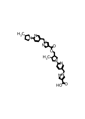 C[C@H]1CCN(c2ccc(Cn3cc(C(=O)OCC4CN(c5ccc(Cn6cc(C(=O)O)cn6)cn5)C[C@H]4C)cn3)cn2)C1